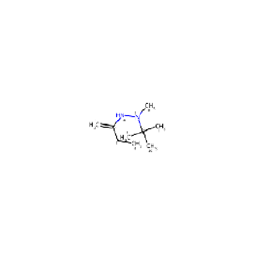 C=C(CC)NN(C)C(C)(C)C